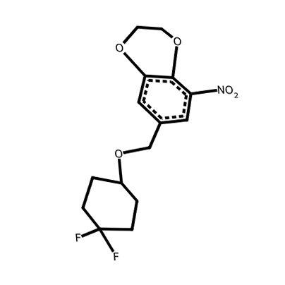 O=[N+]([O-])c1cc(COC2CCC(F)(F)CC2)cc2c1OCCO2